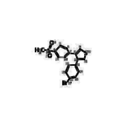 CS(=O)(=O)c1ccc(-c2cscc2-c2ccc(Br)cc2)cc1